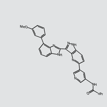 CCCC(=O)Nc1cncc(-c2ccc3[nH]nc(-c4nc5c(-c6cccc(OC)c6)cccc5[nH]4)c3n2)c1